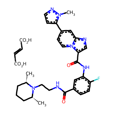 C[C@@H]1CCC[C@H](C)N1CCNC(=O)c1ccc(F)c(NC(=O)c2cnc3cc(-c4ccnn4C)ccn23)c1.O=C(O)C=CC(=O)O